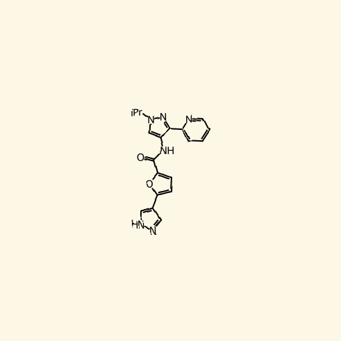 CC(C)n1cc(NC(=O)c2ccc(-c3cn[nH]c3)o2)c(-c2ccccn2)n1